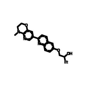 CCC(O)COc1ccc2nc(-c3cnc4c(c3)OCCN4C)ccc2c1